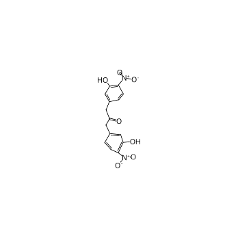 O=C(Cc1ccc([N+](=O)[O-])c(O)c1)Cc1ccc([N+](=O)[O-])c(O)c1